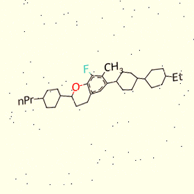 CCCC1CCC(C2CCc3cc(C4CCC(C5CCC(CC)CC5)CC4)c(C)c(F)c3O2)CC1